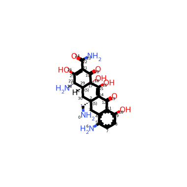 NC[C@@]12Cc3c(N)ccc(O)c3C(=O)C1=C(O)[C@]1(O)C(=O)C(C(N)=O)=C(O)[C@@H](N)[C@@H]1C2